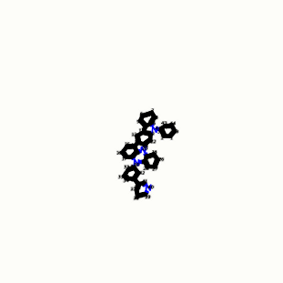 c1ccc(-n2c3ccccc3c3cc4c5cccc6c5n(c4cc32)-c2ccccc2N6c2cccc(-c3cccnc3)c2)cc1